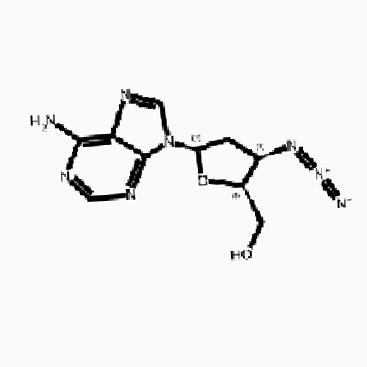 [N-]=[N+]=N[C@@H]1C[C@H](n2cnc3c(N)ncnc32)O[C@@H]1CO